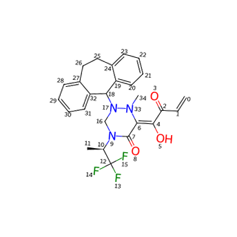 C=CC(=O)/C(O)=C1/C(=O)N([C@H](C)C(F)(F)F)CN(C2c3ccccc3CCc3ccccc32)N1C